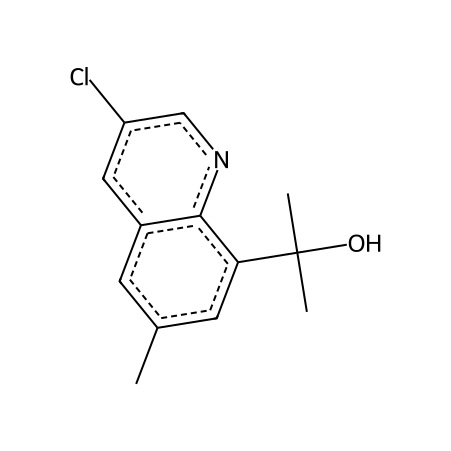 Cc1cc(C(C)(C)O)c2ncc(Cl)cc2c1